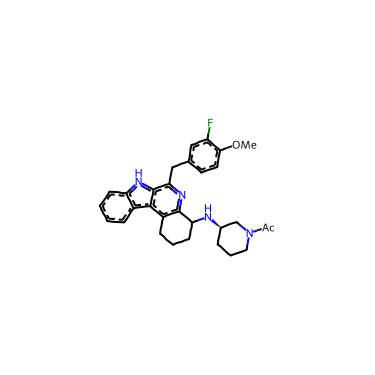 COc1ccc(Cc2nc3c(c4c2[nH]c2ccccc24)CCCC3N[C@@H]2CCCN(C(C)=O)C2)cc1F